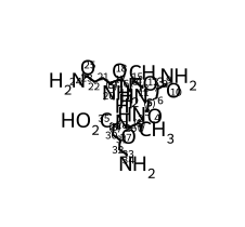 C[C@H](NC(=O)[C@H](CCC(N)=O)NC(=O)[C@H](C)NC(=O)[C@@H](N)CCC(N)=O)C(=O)N[C@@H](CCCCN)C(=O)O